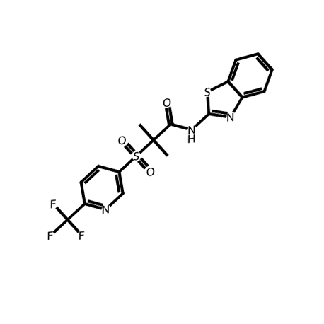 CC(C)(C(=O)Nc1nc2ccccc2s1)S(=O)(=O)c1ccc(C(F)(F)F)nc1